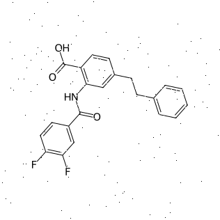 O=C(Nc1cc(CCc2ccccc2)ccc1C(=O)O)c1ccc(F)c(F)c1